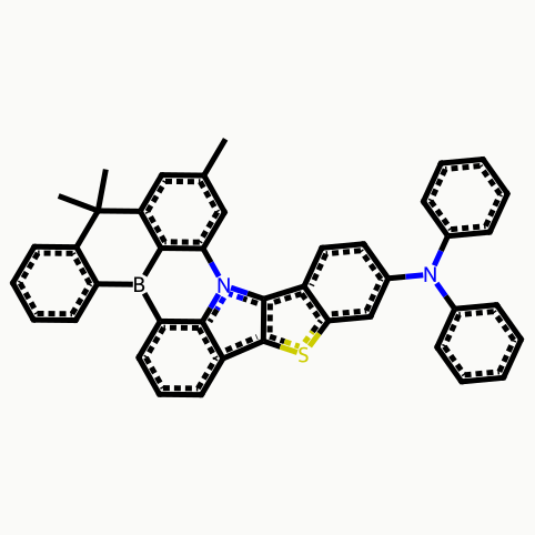 Cc1cc2c3c(c1)C(C)(C)c1ccccc1B3c1cccc3c4sc5cc(N(c6ccccc6)c6ccccc6)ccc5c4n-2c13